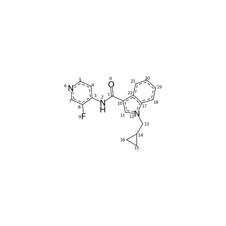 O=C(Nc1ccncc1F)c1cn(CC2CC2)c2ccccc12